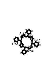 CC(=O)Oc1ccccc1-c1c2nc(c(-c3ccccc3OC(C)=O)c3ccc([nH]3)c(-c3ccccc3OC(C)=O)c3nc(c(-c4ccccc4OC(C)=O)c4ccc1[nH]4)C=C3)C=C2